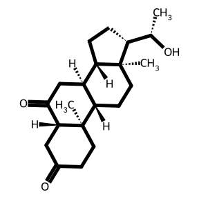 C[C@H](O)[C@H]1CC[C@H]2[C@@H]3CC(=O)[C@H]4CC(=O)CC[C@]4(C)[C@H]3CC[C@]12C